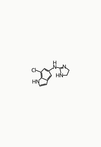 Clc1cc(NC2=NCCN2)cc2cc[nH]c12